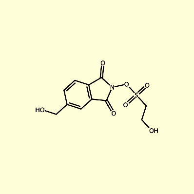 O=C1c2ccc(CO)cc2C(=O)N1OS(=O)(=O)CCO